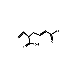 C=CC(CC=CC(=O)O)C(=O)O